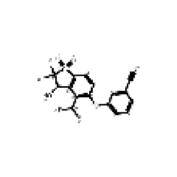 N#Cc1cccc(Oc2ccc3c(c2C(F)F)[C@@H](O)C(F)(F)S3(=O)=O)c1